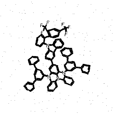 FC(F)(F)c1ccc(-c2ccccc2-n2c3ccccc3c3cc(-c4cc5c6c(c4)N(c4cc(-c7ccccc7)cc(-c7ccccc7)c4)c4ccccc4B6c4ccccc4N5c4cc(-c5ccccc5)cc(-c5ccccc5)c4)ccc32)c(C(F)(F)F)c1